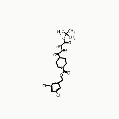 CC(C)(C)OC(=O)NNC(=O)C1CCN(C(=O)OCc2cc(Cl)cc(Cl)c2)CC1